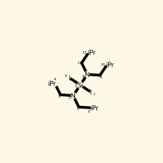 CC(C)CN(CC(C)C)[Si](I)(I)N(CC(C)C)CC(C)C